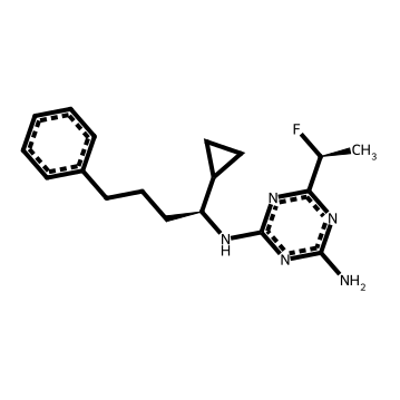 C[C@H](F)c1nc(N)nc(N[C@@H](CCCc2ccccc2)C2CC2)n1